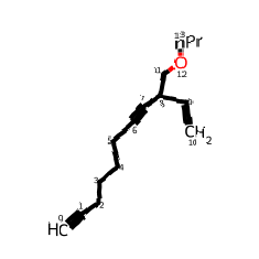 C#CCCCCC#CC(C=C)COCCC